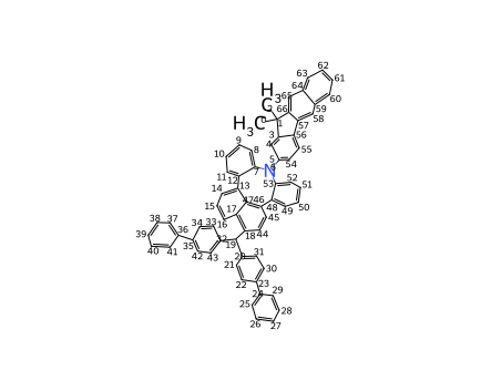 CC1(C)c2cc(N3c4ccccc4-c4cccc5c(C(c6ccc(-c7ccccc7)cc6)c6ccc(-c7ccccc7)cc6)ccc(c45)-c4ccccc43)ccc2-c2cc3ccccc3cc21